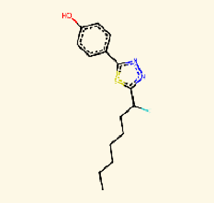 CCCCCCC(F)c1nnc(-c2ccc(O)cc2)s1